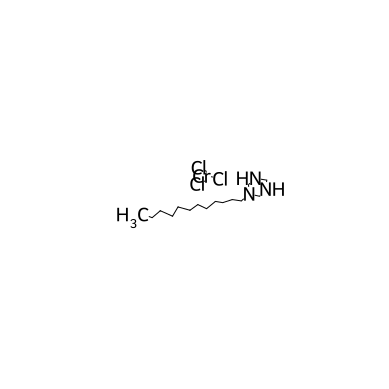 CCCCCCCCCCCCN1CNCNC1.[Cl][Cr]([Cl])[Cl]